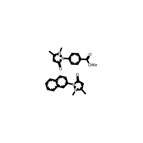 COC(=O)c1ccc(-n2c(=O)cc(C)n2C)cc1.Cc1cc(=O)n(-c2ccc3ccccc3c2)n1C